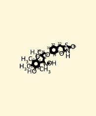 Cc1c(C)c2c(c(C)c1O)C(=NO)CC(C)(COc1ccc(CC3SC(=O)NC3=O)cc1)O2